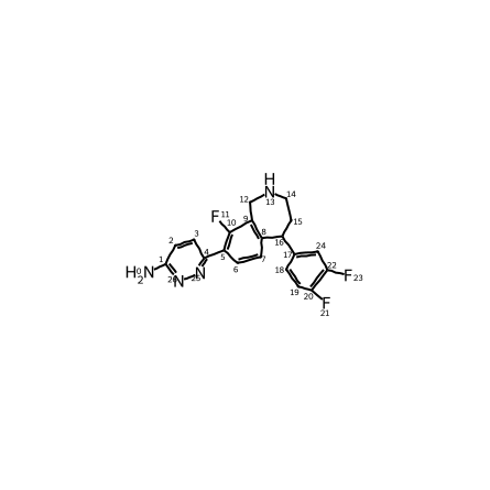 Nc1ccc(-c2ccc3c(c2F)CNCCC3c2ccc(F)c(F)c2)nn1